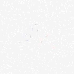 C[C@H]1[C@@H](O)C[C@@H](C(=O)NCc2ccnc(-c3cnc(C(F)(F)F)nc3)c2)N1C(=O)OC(C)(C)C